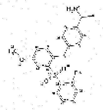 C[C@H](N)c1ccc(Cc2ccc(OC(F)(F)F)cc2S(=O)(=O)c2ccccc2F)cc1